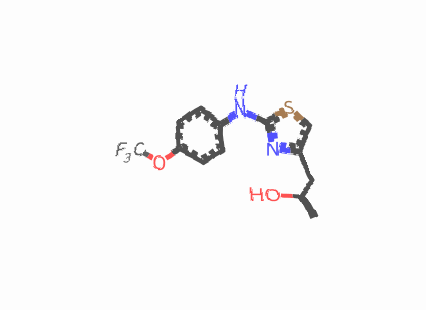 C=C(O)Cc1csc(Nc2ccc(OC(F)(F)F)cc2)n1